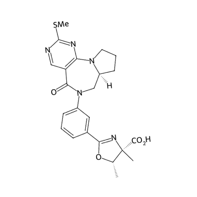 CSc1ncc2c(n1)N1CCC[C@H]1CN(c1cccc(C3=N[C@](C)(C(=O)O)[C@H](C)O3)c1)C2=O